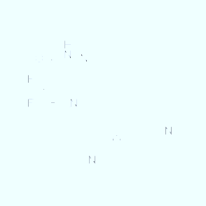 O=c1[nH]ncc(N2Cc3ccnc(OCc4cccnc4)c3C2)c1C(F)(F)F